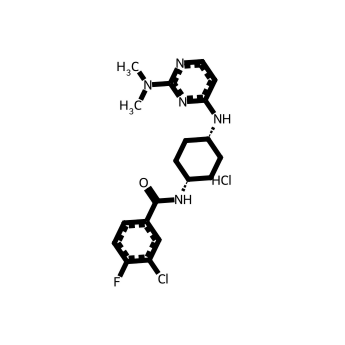 CN(C)c1nccc(N[C@H]2CC[C@@H](NC(=O)c3ccc(F)c(Cl)c3)CC2)n1.Cl